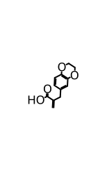 C=C(Cc1ccc2c(c1)OCCO2)C(=O)O